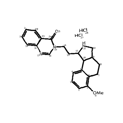 COc1cccc2c1CCC1CNC(CCn3cnc4ccccc4c3=O)C21.Cl.Cl